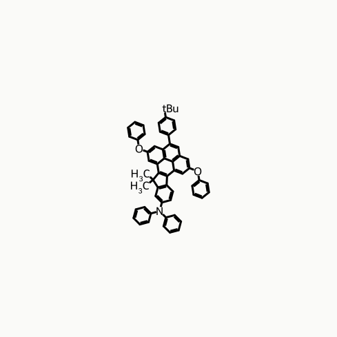 CC(C)(C)c1ccc(-c2cc3cc(Oc4ccccc4)cc4c5c(c6cc(Oc7ccccc7)cc2c6c34)C(C)(C)c2cc(N(c3ccccc3)c3ccccc3)ccc2-5)cc1